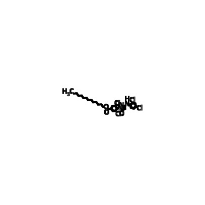 CCCCCCCCCCCCCCOC(=O)c1cc(Cl)c(-n2[nH]c(Nc3ccc(Cl)cc3Cl)cc2=O)c(Cl)c1